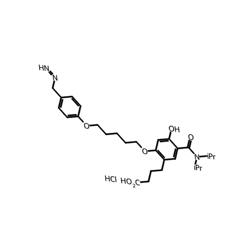 CC(C)N(C(=O)c1cc(CCCC(=O)O)c(OCCCCCOc2ccc(CN=N)cc2)cc1O)C(C)C.Cl